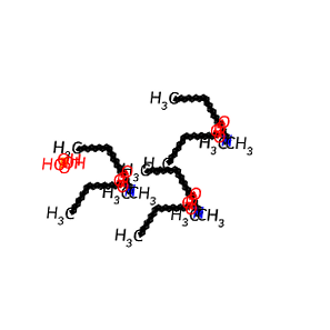 CCCCCCCC/C=C\CCCCCCCC(=O)OCC(CN(C)C)OC(=O)CCCCCCC/C=C\CCCCCCCC.CCCCCCCC/C=C\CCCCCCCC(=O)OCC(CN(C)C)OC(=O)CCCCCCC/C=C\CCCCCCCC.CCCCCCCC/C=C\CCCCCCCC(=O)OCC(CN(C)C)OC(=O)CCCCCCC/C=C\CCCCCCCC.O=P(O)(O)O